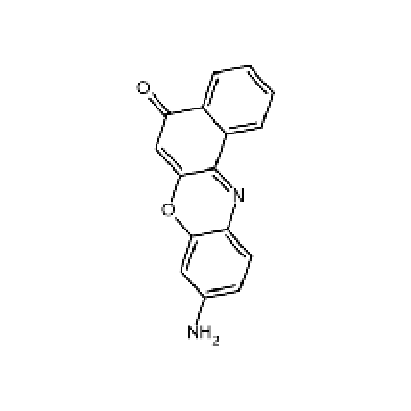 Nc1ccc2nc3c4ccccc4c(=O)cc-3oc2c1